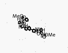 COC(=O)N[C@H](C(=O)N1CCC[C@H]1c1nc2ccc(-c3ccc4nc(-c5cnc([C@@H]6CCCN6C(=O)[C@H](NC(=O)OC)c6ccccc6)[nH]5)ccc4c3)cc2[nH]1)C(C)C